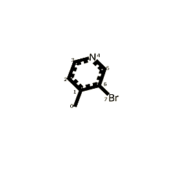 Cc1c[c]ncc1Br